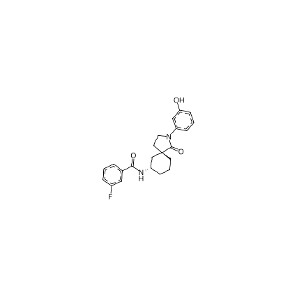 O=C(N[C@H]1CCC[C@]2(CCN(c3cccc(O)c3)C2=O)C1)c1cccc(F)c1